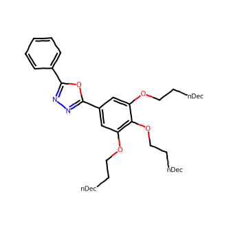 CCCCCCCCCCCCOc1cc(-c2nnc(-c3ccccc3)o2)cc(OCCCCCCCCCCCC)c1OCCCCCCCCCCCC